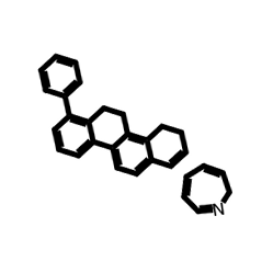 C1=CC=NCC=C1.C1=Cc2ccc3c(c2CC1)CCc1c(-c2ccccc2)cccc1-3